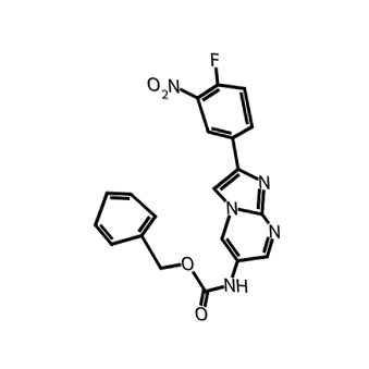 O=C(Nc1cnc2nc(-c3ccc(F)c([N+](=O)[O-])c3)cn2c1)OCc1ccccc1